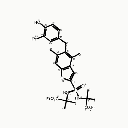 CCOC(=O)C(C)(C)NP(=O)(NC(C)(C)C(=O)OCC)c1cc2c(C)c(Cc3ccc(O)c(C(C)C)c3)c(C)cc2o1